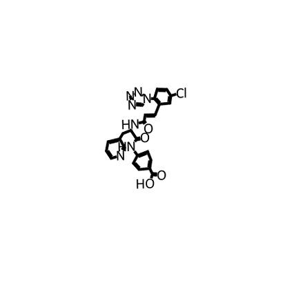 O=C(C=Cc1cc(Cl)ccc1-n1cnnn1)NC(Cc1cccnc1)C(=O)Nc1ccc(C(=O)O)cc1